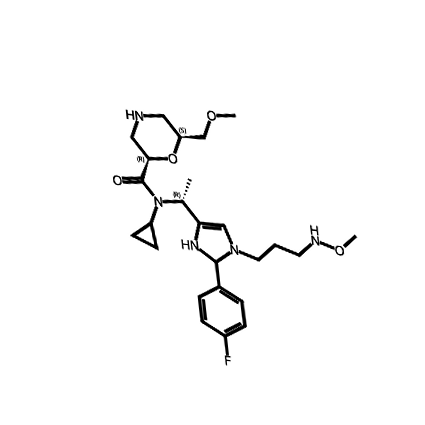 COC[C@@H]1CNC[C@H](C(=O)N(C2CC2)[C@H](C)C2=CN(CCCNOC)C(c3ccc(F)cc3)N2)O1